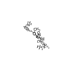 Cc1cc(-n2ccc(NC(=O)N3CCN(C(=O)C(C)(C)N)CC3)nc2=O)ccc1CCN1CC2CC2(CN)C1